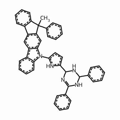 CC1(c2ccccc2)c2ccccc2-c2cc3c4ccccc4n(-c4ccc(C5N=C(c6ccccc6)NC(c6ccccc6)N5)[nH]4)c3cc21